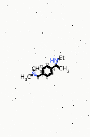 C=C(NCC)c1ccc(CN(C)C)cc1